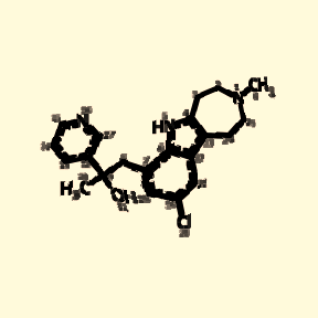 CN1CCc2[nH]c3c(CC(C)(O)c4cccnc4)cc(Cl)cc3c2CC1